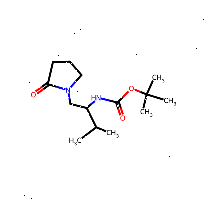 CC(C)C(CN1CCCC1=O)NC(=O)OC(C)(C)C